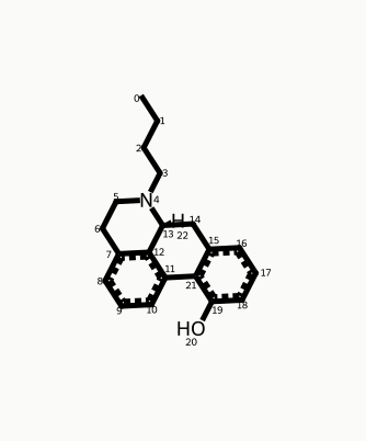 CCCCN1CCc2cccc3c2[C@H]1Cc1cccc(O)c1-3